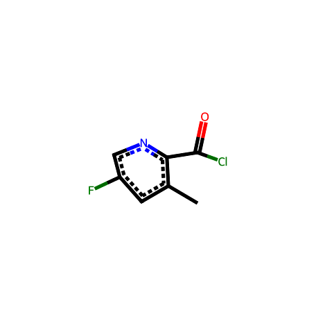 Cc1cc(F)cnc1C(=O)Cl